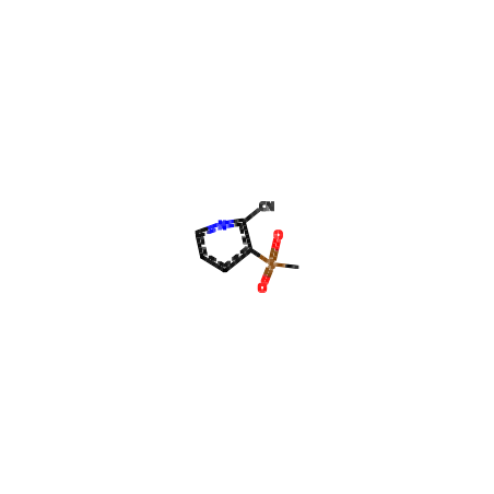 CS(=O)(=O)c1cccnc1C#N